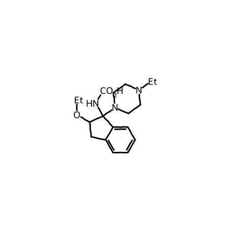 CCOC1Cc2ccccc2C1(NC(=O)O)N1CCN(CC)CC1